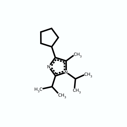 Cc1c(C2CCCC2)nc(C(C)C)n1C(C)C